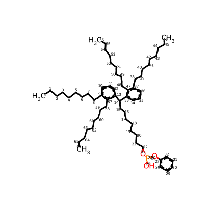 CCCCCCCCCc1cccc(C(CCCCCCCCOP(O)Oc2ccccc2)c2cccc(CCCCCCCCC)c2CCCCCCCCC)c1CCCCCCCCC